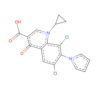 O=C(O)c1cn(C2CC2)c2c(Cl)c(-n3cccc3)c(Cl)cc2c1=O